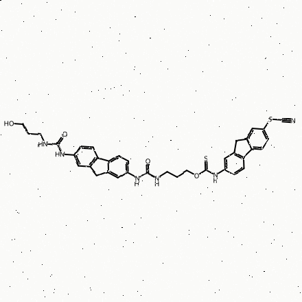 N#CSc1ccc2c(c1)Cc1cc(NC(=S)OCCCNC(=O)Nc3ccc4c(c3)Cc3cc(NC(=O)NCCCO)ccc3-4)ccc1-2